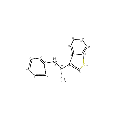 C[C@H]([SiH2]c1ccccc1)c1csc2ccccc12